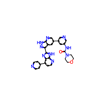 O=C(Nc1cncc(-c2cnc3[nH]nc(-c4nc5c(-c6ccncc6)ccnc5[nH]4)c3c2)c1)N1CCOCC1